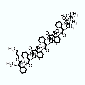 CCCCOC(=O)[C@@H](CC)[C@@H]1CCCC[C@@H]1NC(=O)[C@@H](CC)[C@@H]1CCCC[C@@H]1NC(=O)[C@@H](CC)[C@@H]1CCCC[C@@H]1NC(=O)[C@@H](CC)[C@@H]1CCCC[C@@H]1NC(=O)[C@@H](CC)[C@@H]1CCCC[C@@H]1NC(=O)[C@@H](CC)[C@@H]1CCCC[C@@H]1NC(=O)OC(C)(C)C